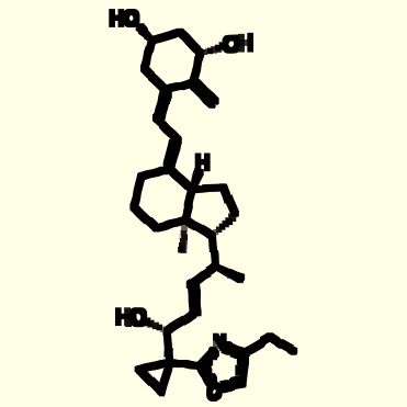 C=C1/C(=C\C=C2/CCC[C@]3(C)[C@@H]([C@@H](C)/C=C/[C@@H](O)C4(c5nc(CC)co5)CC4)CC[C@@H]23)C[C@@H](O)C[C@@H]1O